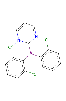 Clc1ccccc1P(c1ccccc1Cl)C1N=CC=CN1Cl